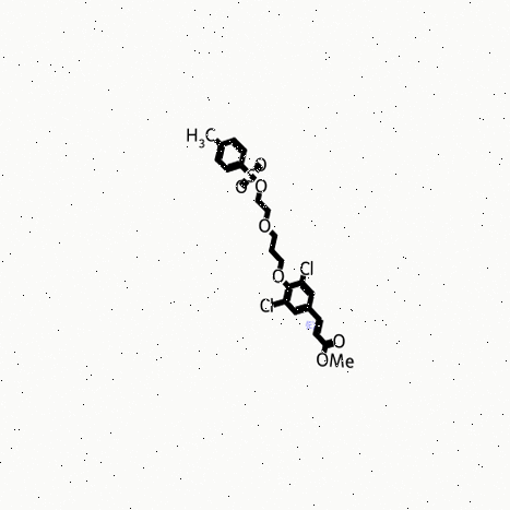 COC(=O)/C=C/c1cc(Cl)c(OCCCOCCOS(=O)(=O)c2ccc(C)cc2)c(Cl)c1